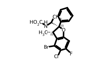 CC(NC(=O)O)[C@]1(c2ccccc2)Oc2cc(F)c(Cl)c(Br)c2[C@@H]1C